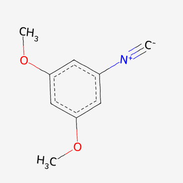 [C-]#[N+]c1cc(OC)cc(OC)c1